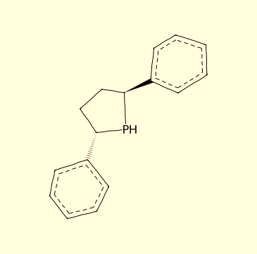 c1ccc([C@@H]2CC[C@@H](c3ccccc3)P2)cc1